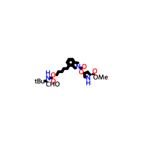 COC(=O)[C@@H]1C[C@@H](OC(=O)N2Cc3cccc(CCCCCOC(=O)N[C@H](C=O)C(C)(C)C)c3C2)CN1